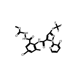 COC(=O)NNC(=O)c1cc(Cl)cc(C)c1NC(=O)c1cc(SC(F)(F)F)nn1-c1ncccc1Cl